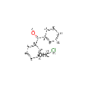 O=C(c1ccccc1)c1ccccc1.O=CCl